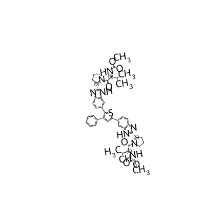 COC(=O)N[C@H](C(=O)N1CCC[C@H]1c1nc2ccc(-c3cc(-c4ccccc4)c(-c4ccc5nc([C@@H]6CCCN6C(=O)[C@@H](NC(=O)OC)C(C)C)[nH]c5c4)s3)cc2[nH]1)C(C)C